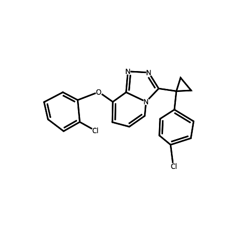 Clc1ccc(C2(c3nnc4c(Oc5ccccc5Cl)cccn34)CC2)cc1